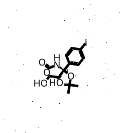 CC(C)(C)O[C@@](NC=O)(c1ccc(I)cc1)[C@@H](O)C(=O)O